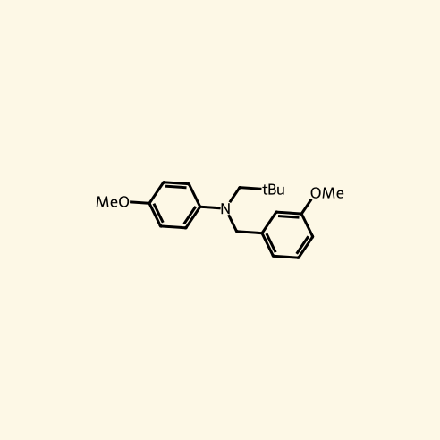 COc1ccc(N(Cc2cccc(OC)c2)CC(C)(C)C)cc1